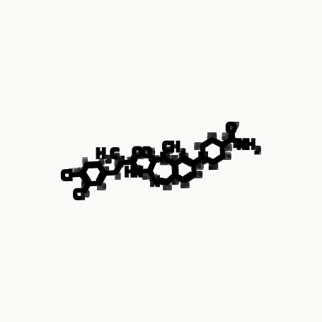 C[C@@H](Cc1ccc(Cl)c(Cl)c1)C(=O)NC1N=Cc2ccc(N3CCC(C(N)=O)CC3)cc2N(C)C1=O